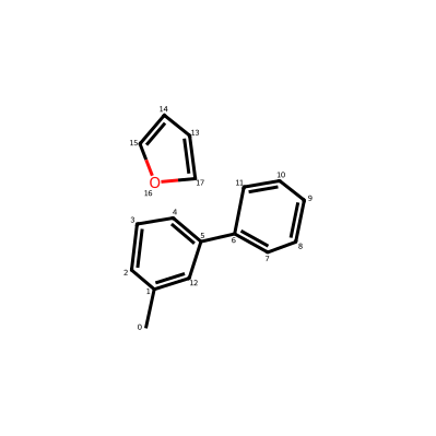 Cc1cccc(-c2ccccc2)c1.c1ccoc1